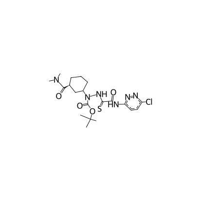 CN(C)C(=O)[C@H]1CCCC(N(NC(=S)C(=O)Nc2ccc(Cl)nn2)C(=O)OC(C)(C)C)C1